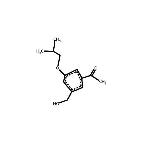 CC(=O)c1cc(CO)cc(OCC(C)C)c1